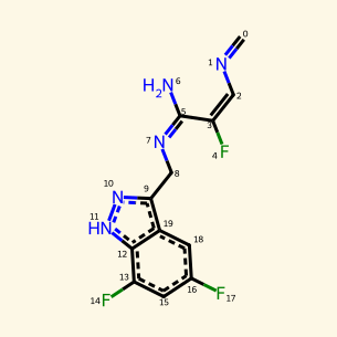 C=N/C=C(F)\C(N)=N/Cc1n[nH]c2c(F)cc(F)cc12